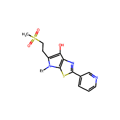 CCn1c(CCS(C)(=O)=O)c(O)c2nc(-c3cccnc3)sc21